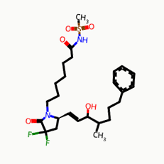 CC(CCCc1ccccc1)C(O)/C=C/[C@H]1CC(F)(F)C(=O)N1CCCCCCC(=O)NS(C)(=O)=O